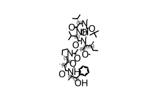 CC[C@H](C)[C@@H]([C@@H](CC(=O)N1CCC[C@H]1[C@H](OC)[C@@H](C)C(=O)N[C@H](C)[C@@H](O)c1ccccc1)OC)N(C)C(=O)[C@@H](NC(=O)[C@H](C(C)C)N(C)C(=O)OC(C)(C)C)C(C)C